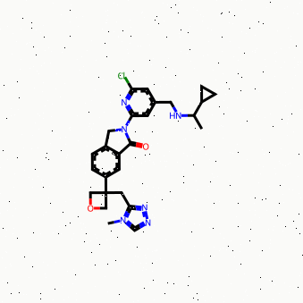 CC(NCc1cc(Cl)nc(N2Cc3ccc(C4(Cc5nncn5C)COC4)cc3C2=O)c1)C1CC1